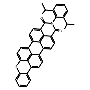 CC(C)c1cccc(C(C)C)c1-n1c(=O)c2ccc3c4ccc5sc6ccccc6c6ccc(c7ccc(c1=O)c2c37)c4c56